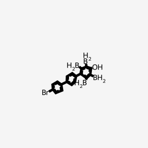 Bc1c(B)c(-c2ccc(-c3ccc(Br)cc3)cc2)c(B)c(B)c1O